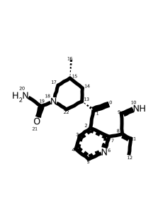 C=C(c1cccnc1/C(C=N)=C\C)[C@H]1C[C@@H](C)CN(C(N)=O)C1